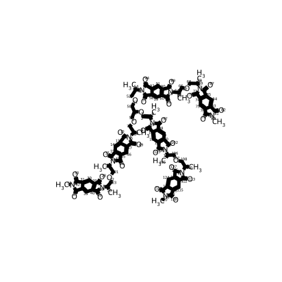 C/C(=C\OC(COCC(C)n1c(=O)c2cc3c(=O)n(C(C)COCC(C)n4c(=O)c5cc6c(=O)n(C)c(=O)c6cc5c4=O)c(=O)c3cc2c1=O)COCC(C)n1c(=O)c2cc3c(=O)n(C(C)COCC(C)n4c(=O)c5cc6c(=O)n(C)c(=O)c6cc5c4=O)c(=O)c3cc2c1=O)n1c(=O)c2cc3c(=O)n(C(C)COCC(C)n4c(=O)c5cc6c(=O)n(C)c(=O)c6cc5c4=O)c(=O)c3cc2c1=O